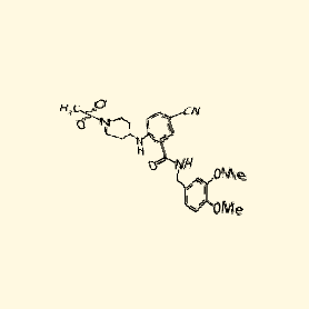 COc1ccc(CNC(=O)c2cc(C#N)ccc2NC2CCN(S(C)(=O)=O)CC2)cc1OC